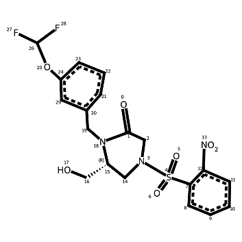 O=C1CN(S(=O)(=O)c2ccccc2[N+](=O)[O-])C[C@H](CO)N1Cc1cccc(OC(F)F)c1